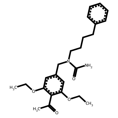 CCOc1cc(CN(CCCCc2ccccc2)C(N)=O)cc(OCC)c1C(C)=O